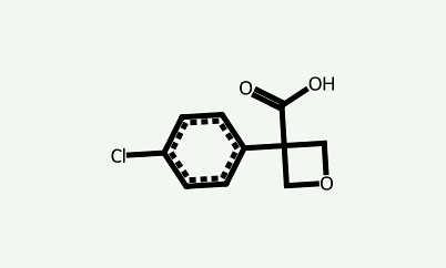 O=C(O)C1(c2ccc(Cl)cc2)COC1